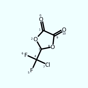 O=C1OC(C(F)(F)Cl)OC1=O